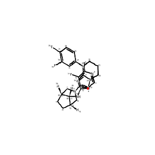 Cc1ncnc(N2C[C@H]3CC[C@@H](C2)[C@H]3Nc2nc3n(n2)CCCN3c2ccc(F)c(F)c2)c1F